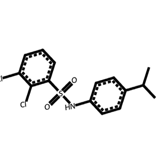 CC(C)c1ccc(NS(=O)(=O)c2cccc(Cl)c2Cl)cc1